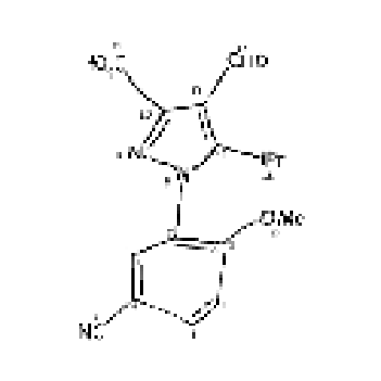 COc1ccc(C#N)cc1-n1nc(C(=O)O)c(C=O)c1C(C)C